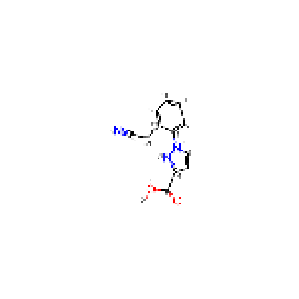 COC(=O)c1ccn(-c2ccccc2CC#N)n1